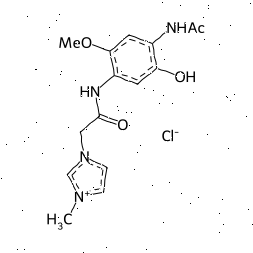 COc1cc(NC(C)=O)c(O)cc1NC(=O)Cn1cc[n+](C)c1.[Cl-]